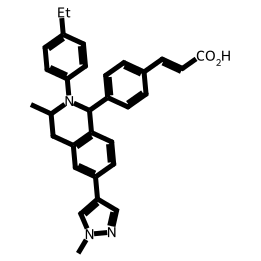 CCc1ccc(N2C(C)Cc3cc(-c4cnn(C)c4)ccc3C2c2ccc(/C=C/C(=O)O)cc2)cc1